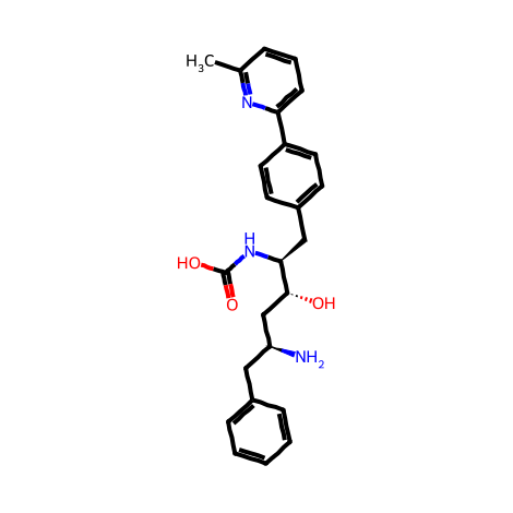 Cc1cccc(-c2ccc(C[C@H](NC(=O)O)[C@H](O)C[C@@H](N)Cc3ccccc3)cc2)n1